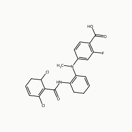 CN(C1=C(NC(=O)C2=C(Cl)C=CCC2Cl)CCC=C1)c1ccc(C(=O)O)c(F)c1